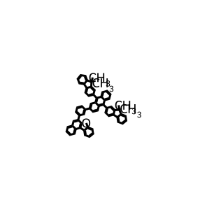 CC1(C)c2ccccc2-c2ccc(-c3c4ccccc4c(-c4ccc5c(c4)C(C)(C)c4ccccc4-5)c4cc(-c5cccc(-c6cc7ccccc7c7c6oc6ccccc67)c5)ccc34)cc21